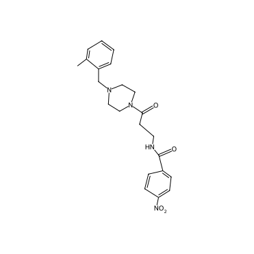 Cc1ccccc1CN1CCN(C(=O)CCNC(=O)c2ccc([N+](=O)[O-])cc2)CC1